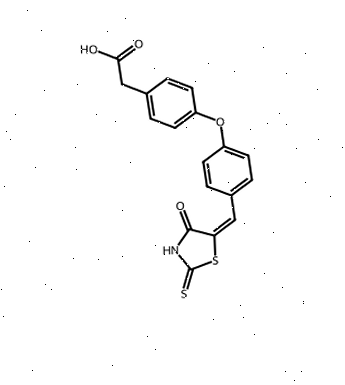 O=C(O)Cc1ccc(Oc2ccc(C=C3SC(=S)NC3=O)cc2)cc1